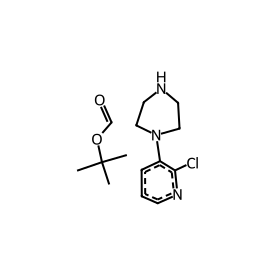 CC(C)(C)OC=O.Clc1ncccc1N1CCNCC1